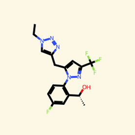 CCn1cc(Cc2cc(C(F)(F)F)nn2-c2ccc(F)cc2[C@@H](C)O)nn1